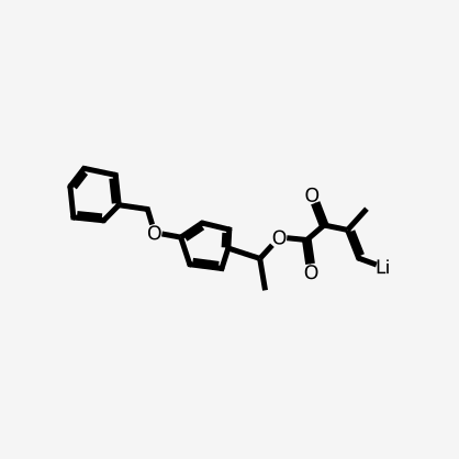 [Li][CH]=C(C)C(=O)C(=O)OC(C)c1ccc(OCc2ccccc2)cc1